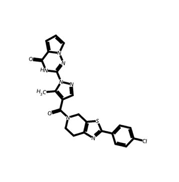 Cc1c(C(=O)N2CCc3nc(-c4ccc(Cl)cc4)sc3C2)cnn1-c1nn2cccc2c(=O)[nH]1